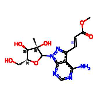 COC(=O)/C=C/c1nn(C2O[C@H](CO)[C@@H](O)[C@@]2(C)O)c2ncnc(N)c12